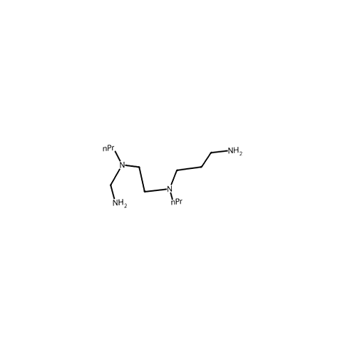 CCCN(CN)CCN(CCC)CCCN